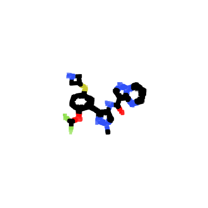 Cn1cc(NC(=O)c2cnn3cccnc23)c(-c2cc(SC3CNC3)ccc2OC(F)F)n1